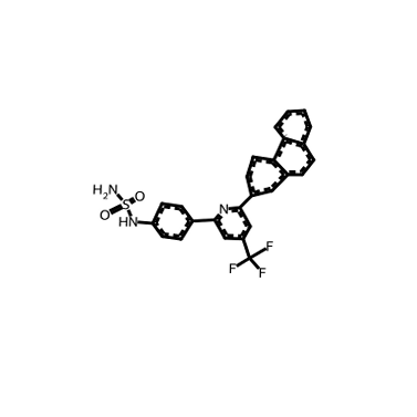 NS(=O)(=O)Nc1ccc(-c2cc(C(F)(F)F)cc(-c3ccc4c(ccc5ccccc54)c3)n2)cc1